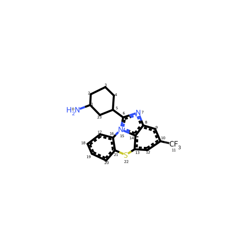 NC1CCCC(c2nc3cc(C(F)(F)F)cc4c3n2-c2ccccc2S4)C1